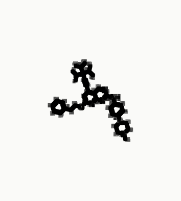 CC(C)[Si](C#Cc1cc(OCCc2ccccc2)nc2nc(Nc3ccc(N4CCN(C)CC4)cc3)ncc12)(C(C)C)C(C)C